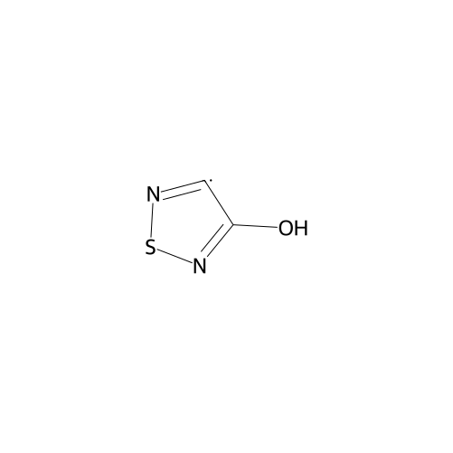 Oc1[c]nsn1